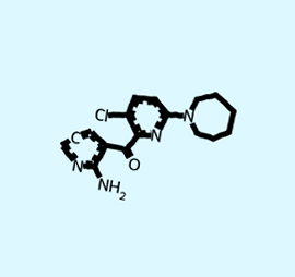 Nc1ncccc1C(=O)c1nc(N2CCCCCC2)ccc1Cl